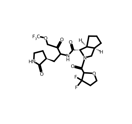 O=C(COC(F)(F)F)C(C[C@@H]1CCNC1=O)NC(=O)[C@@H]1[C@H]2CCC[C@H]2CN1C(=O)C1OCCC1(F)F